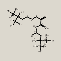 C=C(COCCC(O)(C(F)(F)F)C(F)(F)F)C(=O)OC(C)CC(O)(C(F)(F)F)C(F)(F)F